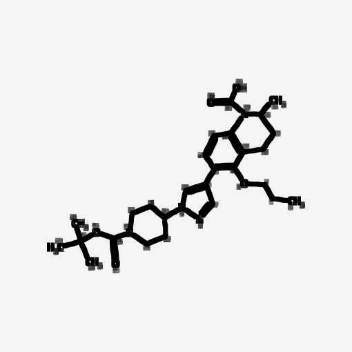 CCCOc1c(-c2cnn(C3CCN(C(=O)OC(C)(C)C)CC3)c2)ccc2c1CCC(C)N2C(=O)O